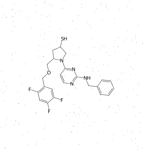 Fc1cc(F)c(COCC2CC(S)CN2c2ccnc(NCc3ccccc3)n2)cc1F